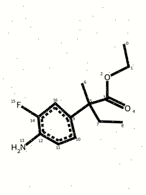 CCOC(=O)C(C)(CC)c1ccc(N)c(F)c1